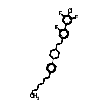 CCCCCCCc1ccc([C@H]2CC[C@H](CCc3ccc(-c4cc(F)c(Cl)c(F)c4)c(F)c3)CC2)cc1